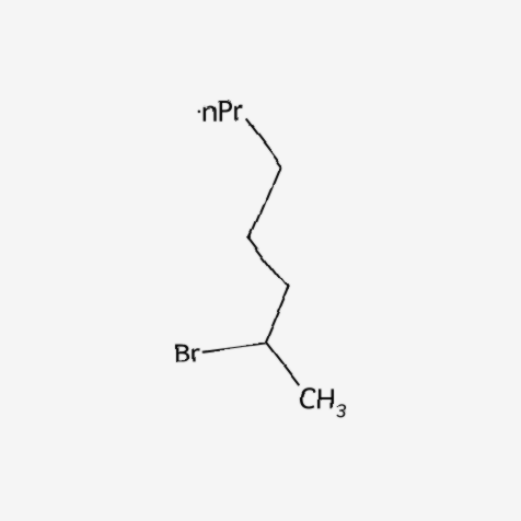 CC[CH]CCCC(C)Br